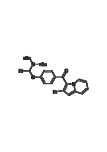 CCCCN(CCCC)C(CC)Oc1ccc(C(=O)c2c(CC)cc3ccccn23)cc1